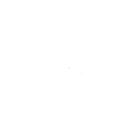 CCC[C@H](NC(=O)OCC1c2ccccc2-c2ccccc21)c1nc(C=O)co1